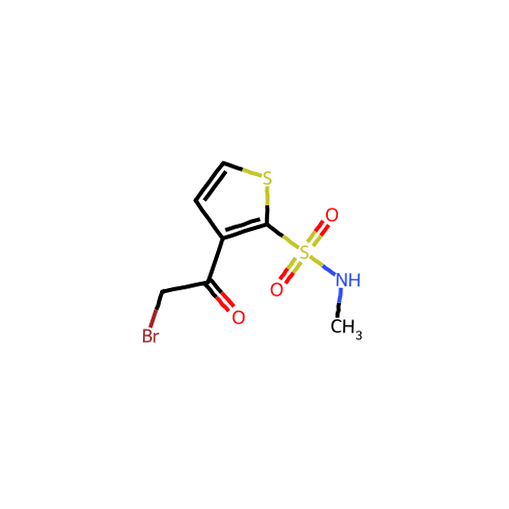 CNS(=O)(=O)c1sccc1C(=O)CBr